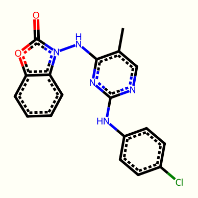 Cc1cnc(Nc2ccc(Cl)cc2)nc1Nn1c(=O)oc2ccccc21